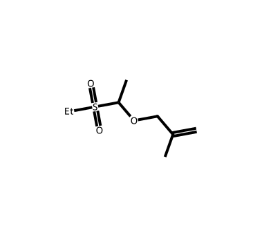 C=C(C)COC(C)S(=O)(=O)CC